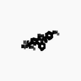 CC(C)(C)c1ccc(C(=O)NS(=O)(=O)c2ccc(N)cc2)c(C2=CCCCC2)n1